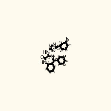 O=C1Nc2ccccc2C(c2ccccc2)=NC1Nc1nnc(-c2cccc(F)c2)o1